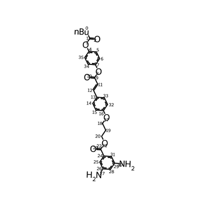 CCCCC(=O)Oc1ccc(OC(=O)/C=C/c2ccc(OCCCOC(=O)c3cc(N)cc(N)c3)cc2)cc1